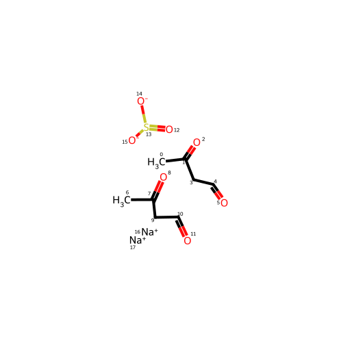 CC(=O)CC=O.CC(=O)CC=O.O=S([O-])[O-].[Na+].[Na+]